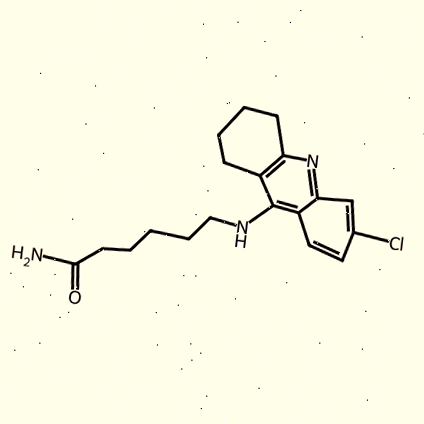 NC(=O)CCCCCNc1c2c(nc3cc(Cl)ccc13)CCCC2